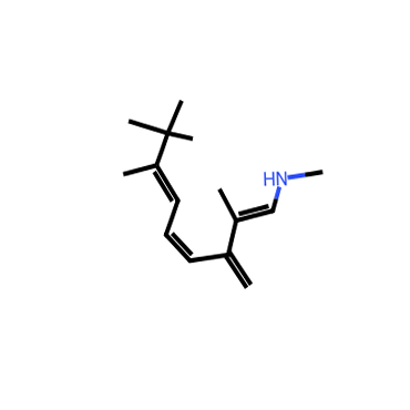 C=C(/C=C\C=C(/C)C(C)(C)C)/C(C)=C/NC